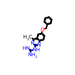 Cc1nc(NC(=N)N)nc2ccc(OCc3ccccc3)cc12